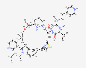 CCn1c(-c2cccnc2[C@H](C)OC)c2c3cc(ccc31)-c1csc(n1)C[C@H](NC(=O)[C@H](C(C)C)N(C)C(=O)N(C)CCc1ccncc1)C(=O)N1CCC[C@@](O)(N1)C(=O)OCC(C)(C)C2